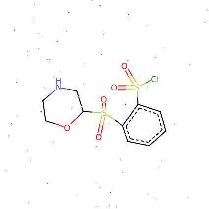 O=S(=O)(Cl)c1ccccc1S(=O)(=O)C1CNCCO1